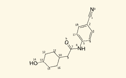 N#Cc1ccc(NC(=O)CC2CCC(O)CC2)cc1